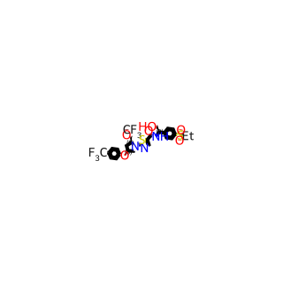 CCS(=O)(=O)c1ccc([C@H](CO)NC(=O)c2cnc(N3C[C@@H](Oc4ccc(C(F)(F)F)cc4)C[C@H]3COC(F)(F)F)s2)cc1